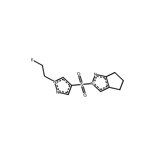 O=S(=O)(c1cnn(CCF)c1)n1cc2c(n1)CCC2